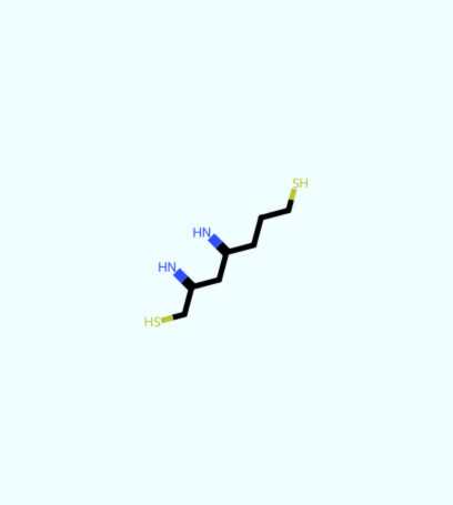 N=C(CS)CC(=N)CCCS